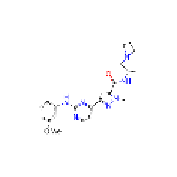 COc1cccc(Nc2nccc(-c3cc(C(=O)NC(C)CN4CCC4)n(C)n3)n2)c1